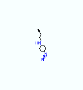 C#CCCCN[C@H]1CC[C@@H](N=[N+]=[N-])CC1